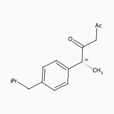 CC(=O)CC(=O)[C@H](C)c1ccc(CC(C)C)cc1